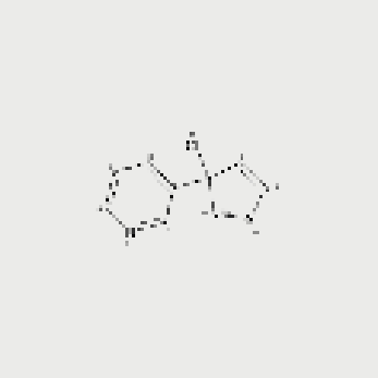 ClC1(c2cccnc2)C=NSN1